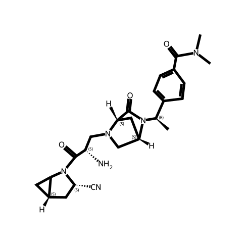 C[C@H](c1ccc(C(=O)N(C)C)cc1)N1C(=O)[C@@H]2C[C@H]1CN2C[C@H](N)C(=O)N1C2C[C@H]2C[C@H]1C#N